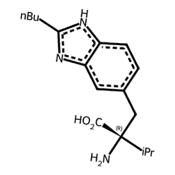 CCCCc1nc2cc(C[C@](N)(C(=O)O)C(C)C)ccc2[nH]1